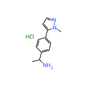 CC(N)c1ccc(-c2ccnn2C)cc1.Cl